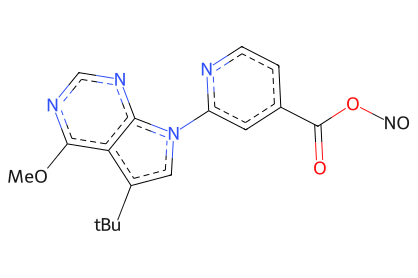 COc1ncnc2c1c(C(C)(C)C)cn2-c1cc(C(=O)ON=O)ccn1